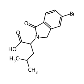 CC(C)CC(C(=O)O)N1Cc2cc(Br)ccc2C1=O